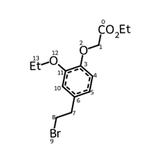 CCOC(=O)COc1ccc(CCBr)cc1OCC